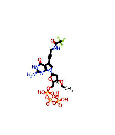 CCO[C@@H]1C[C@H](n2cc(C#CCNC(=O)C(F)(F)F)c3c(=O)[nH]c(N)nc32)OC1COP(=O)(O)OP(=O)(O)OP(=O)(O)O